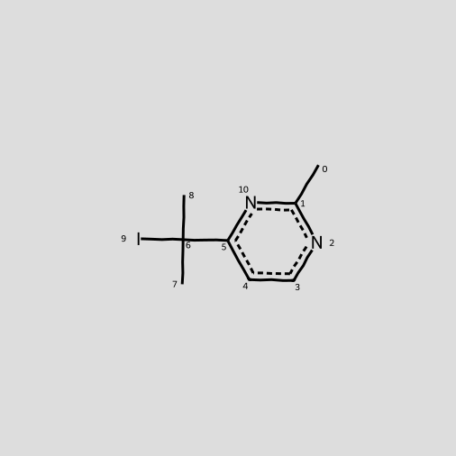 Cc1nccc(C(C)(C)I)n1